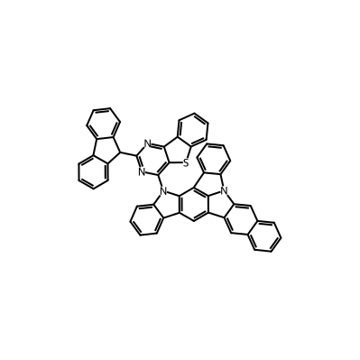 c1ccc2c(c1)-c1ccccc1C2c1nc(-n2c3ccccc3c3cc4c5cc6ccccc6cc5n5c6ccccc6c(c32)c45)c2sc3ccccc3c2n1